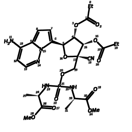 CCC(=O)O[C@H]1[C@H](c2ccc3c(N)ccnn23)O[C@](C#N)(COP(=O)(N[C@@H](C)C(=O)OC)N[C@@H](C)C(=O)OC)[C@H]1OC(=O)CC